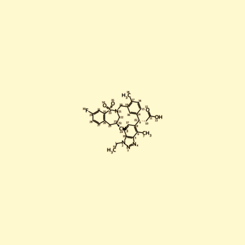 CCn1nnc2c(C)c([C@@H](CC(=O)O)c3ccc(C)c(CN4C[C@@H](C)Cc5ccc(F)cc5S4(=O)=O)c3)ccc21